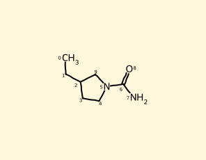 CCC1CCN(C(N)=O)C1